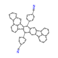 N#Cc1ccc(-c2c3cc4c(cc3c(-c3ccc(C#N)cc3)c3c5cc6ccccc6c6cccc(c23)c65)c2cccc3cccc4c32)cc1